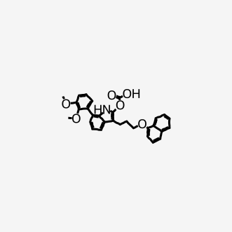 COc1cccc(-c2cccc3c(CCCOc4cccc5ccccc45)c(OC(=O)O)[nH]c23)c1OC